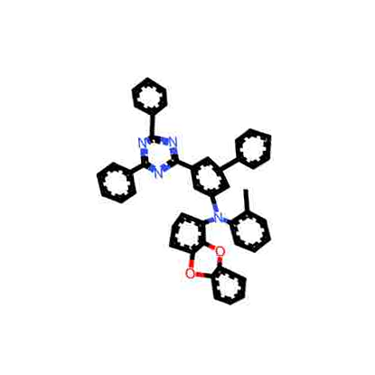 Cc1ccccc1N(c1cc(-c2ccccc2)cc(-c2nc(-c3ccccc3)nc(-c3ccccc3)n2)c1)c1cccc2c1Oc1ccccc1O2